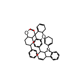 C1=CCC2Oc3cc(C4CC=CC5c6ccccc6N(C6=CCCC=C6)C54)ccc3C3(C2=C1)C1C=CC=CC1OC1CCC(c2ccccc2)CC13